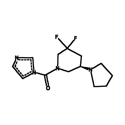 O=C(N1C[C@H](N2CCCC2)CC(F)(F)C1)n1ccnc1